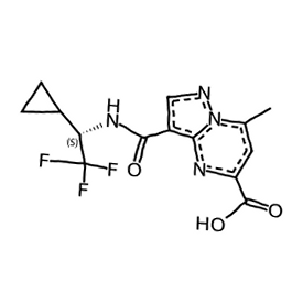 Cc1cc(C(=O)O)nc2c(C(=O)N[C@@H](C3CC3)C(F)(F)F)cnn12